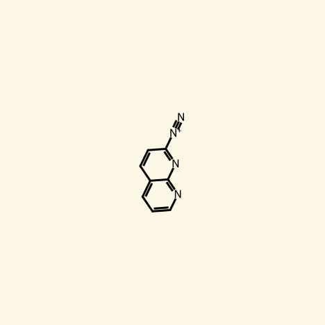 N#[N+]c1ccc2cccnc2n1